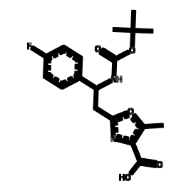 Cc1oc(CC(NC(=O)OC(C)(C)C)c2ccc(F)cc2)nc1C(=O)O